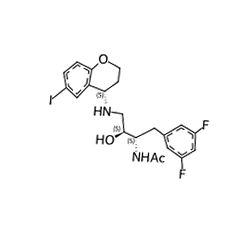 CC(=O)N[C@@H](Cc1cc(F)cc(F)c1)[C@@H](O)CN[C@H]1CCOc2ccc(I)cc21